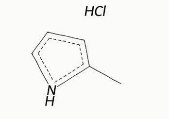 Cc1ccc[nH]1.Cl